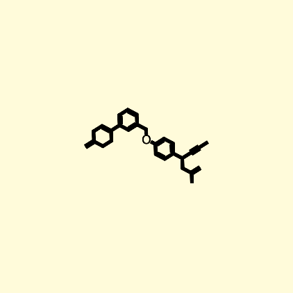 C=C(C)CC(C#CC)c1ccc(OCc2cccc(C3=CCC(=C)CC3)c2)cc1